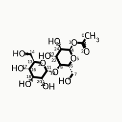 CC(=O)O[C@H]1O[C@H](CO)[C@@H](O[C@H]2O[C@H](CO)[C@@H](O)[C@H](O)[C@H]2O)[C@H](O)[C@H]1O